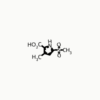 Cc1cc(S(C)(=O)=O)[nH]c1C(=O)O